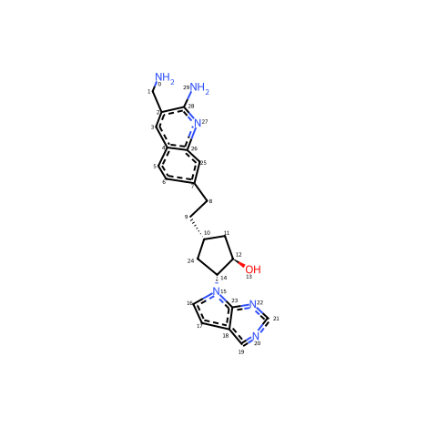 NCc1cc2ccc(CC[C@@H]3C[C@@H](O)[C@H](n4ccc5cncnc54)C3)cc2nc1N